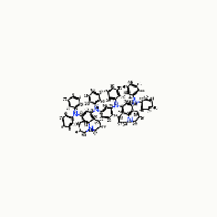 c1ccc(N(c2ccccc2)c2cc(N(c3ccccc3)c3cccc(N(c4ccccc4)c4cc(N(c5ccccc5)c5ccccc5)c5c6c4CCCN6CCC5)c3)c3c4c2CCCN4CCC3)cc1